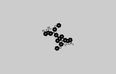 CC1(C)c2ccccc2-c2ccc(N(c3ccc(Oc4ccccc4)cc3)c3ccc(-c4c5ccccc5c(N(c5ccc(Oc6ccccc6)cc5)c5ccc6c(c5)C(C)(C)c5ccccc5-6)c5ccccc45)cc3)cc21